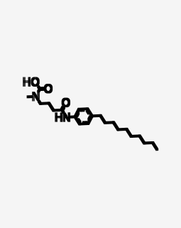 CCCCCCCCCCc1ccc(NC(=O)CCCN(C)C(=O)O)cc1